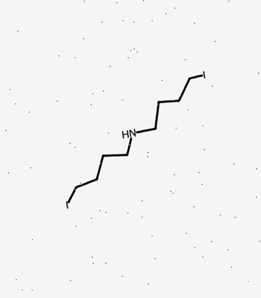 ICCCCNCCCCI